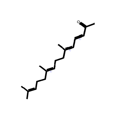 CC(=O)/C=C/C=C(\C)CC/C=C(\C)CCC=C(C)C